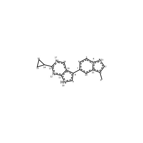 Cc1cnn2ccc(-c3c[nH]c4nc(C5CC5)ncc34)cc12